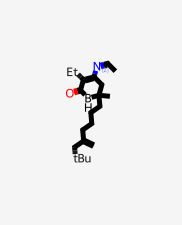 C=C(CCCCC1(C)BC(=O)C(CC)=C(/N=C\C)C1)CC(C)(C)C